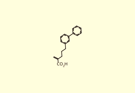 C=C(CCCc1cccc(-c2ccccc2)c1)C(=O)O